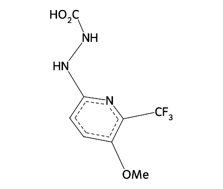 COc1ccc(NNC(=O)O)nc1C(F)(F)F